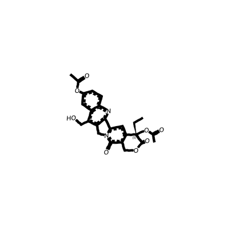 CC[C@@]1(OC(C)=O)C(=O)OCc2c1cc1n(c2=O)Cc2c-1nc1ccc(OC(C)=O)cc1c2CO